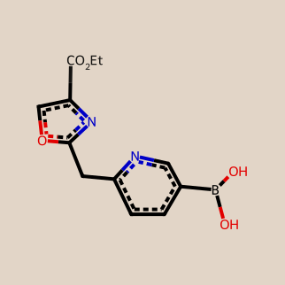 CCOC(=O)c1coc(Cc2ccc(B(O)O)cn2)n1